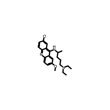 CCN(CC)CCCC(C)Nc1c2cc(Cl)ccc2nc2ccc(OC)cc12